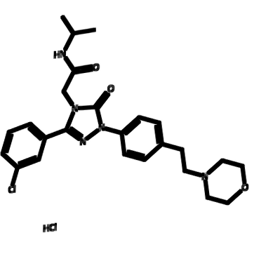 CC(C)NC(=O)Cn1c(-c2cccc(Cl)c2)nn(-c2ccc(CCN3CCOCC3)cc2)c1=O.Cl